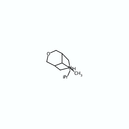 CC(C)NC1C2COCC1CN(C)C2